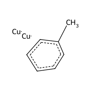 Cc1ccccc1.[Cu].[Cu]